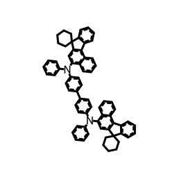 c1ccc(N(c2ccc(-c3ccc(N(c4ccccc4)c4cc5c(c6ccccc46)-c4ccccc4C54CCCCC4)cc3)cc2)c2cc3c(c4ccccc24)-c2ccccc2C32CCCCC2)cc1